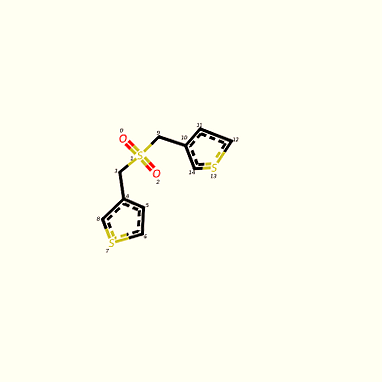 O=S(=O)(Cc1ccsc1)Cc1ccsc1